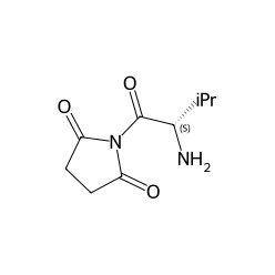 CC(C)[C@H](N)C(=O)N1C(=O)CCC1=O